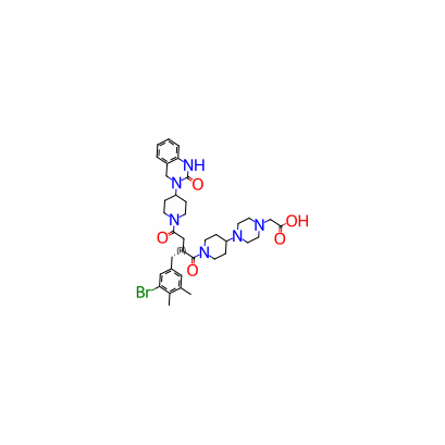 Cc1cc(C[C@H](CC(=O)N2CCC(N3Cc4ccccc4NC3=O)CC2)C(=O)N2CCC(N3CCN(CC(=O)O)CC3)CC2)cc(Br)c1C